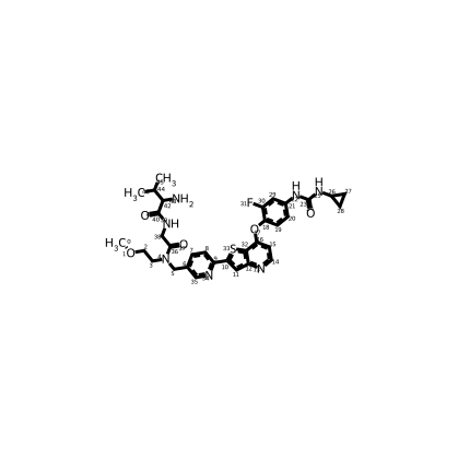 COCCN(Cc1ccc(-c2cc3nccc(Oc4ccc(NC(=O)NC5CC5)cc4F)c3s2)nc1)C(=O)CNC(=O)C(N)C(C)C